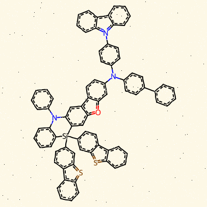 c1ccc(-c2ccc(N(c3ccc(-n4c5ccccc5c5ccccc54)cc3)c3ccc4c(c3)oc3cc5c(cc34)N(c3ccccc3)c3ccccc3[Si]5(c3ccc4c(c3)sc3ccccc34)c3ccc4c(c3)sc3ccccc34)cc2)cc1